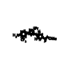 COCC(C)N1C[C@@H]2C(c3cc(-c4cnc(N)c(C(F)(F)F)c4)nn3C(C)C)[C@@H]2C1